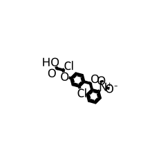 O=C(c1ccc(OC(Cl)C(=O)O)cc1Cl)c1ccccc1[N+](=O)[O-]